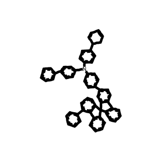 C1=CCC(c2ccc(N(c3ccc(-c4ccccc4)cc3)c3ccc(-c4ccc5c(c4)C4(c6ccccc6-5)c5ccccc5-c5c(-c6ccccc6)cccc54)cc3)cc2)C=C1